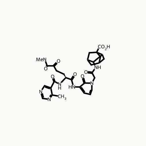 CNC(=O)C(=O)CC[C@H](NC(=O)c1cncnc1C)C(=O)Nc1cccn(CC(=O)NC2C3CC4CC2C(C(=O)O)(C4)C3)c1=O